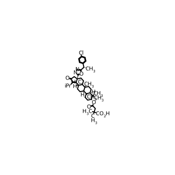 CC(C)C1=C2[C@H]3CC[C@@H]4[C@@]5(C)CC[C@H](OC(=O)CC(C)(C)C(=O)O)C(C)(C)[C@@H]5CC[C@@]4(C)[C@]3(C)CC[C@@]2(c2nnc([C@@H](C)c3ccc(Cl)cc3)o2)CC1=O